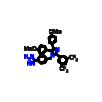 COc1ccc(-c2nc(-c3cc(C(F)(F)F)cc(C(F)(F)F)c3)n(Cc3ccc(C(=N)N)cc3)c2-c2ccc(OC)cc2)cc1